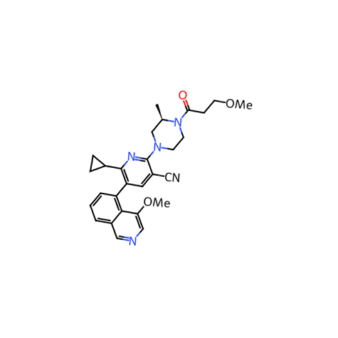 COCCC(=O)N1CCN(c2nc(C3CC3)c(-c3cccc4cncc(OC)c34)cc2C#N)C[C@H]1C